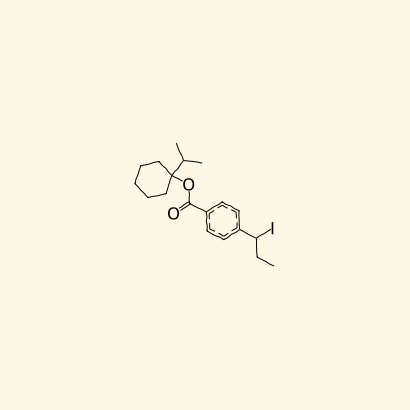 CCC(I)c1ccc(C(=O)OC2(C(C)C)CCCCC2)cc1